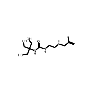 C=C(C)CNCCNC(=O)NC(CO)(CO)CO